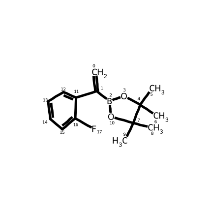 C=C(B1OC(C)(C)C(C)(C)O1)c1ccccc1F